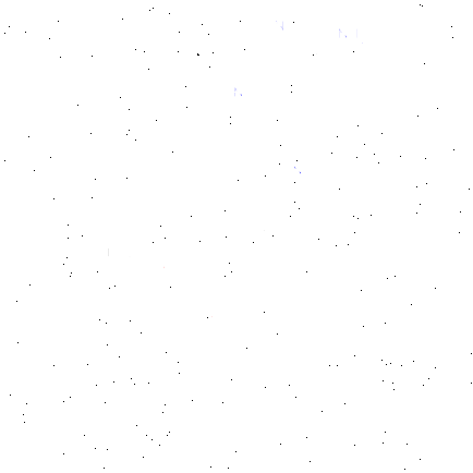 COc1ccc(CN2CCc3c(N)ncnc3C2)cc1OCc1ccccc1